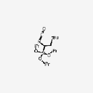 CC(C)O[Si](OC(C)C)(OC(C)C)C(CC(C)(C)C)N=C=O